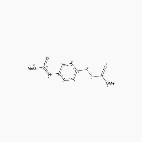 COC(=O)CCc1ccc(N=[SH](=O)OC)cc1